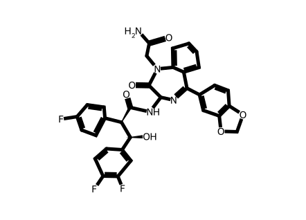 NC(=O)CN1C(=O)C(NC(=O)[C@H](c2ccc(F)cc2)[C@@H](O)c2ccc(F)c(F)c2)N=C(c2ccc3c(c2)OCO3)c2ccccc21